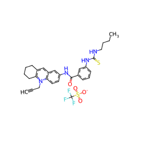 C#CC[n+]1c2c(cc3cc(NC(=O)c4cccc(NC(=S)NCCCC)c4)ccc31)CCCC2.O=S(=O)([O-])C(F)(F)F